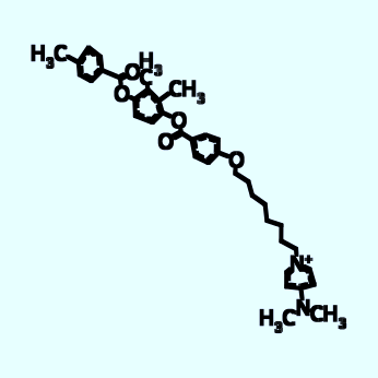 Cc1ccc(C(=O)Oc2ccc(OC(=O)c3ccc(OCCCCCCCC[n+]4ccc(N(C)C)cc4)cc3)c(C)c2C)cc1